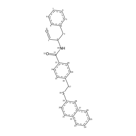 O=CC(Cc1ccccc1)NC(=O)c1ccc(CSc2ccc3ccccc3c2)cc1